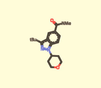 CNC(=O)c1ccc2c(c1)c(C(C)(C)C)nn2C1CCOCC1